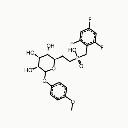 COc1ccc(OC2O[C@H](CCP(=O)(O)Cc3c(F)cc(F)cc3F)[C@@H](O)[C@H](O)[C@@H]2O)cc1